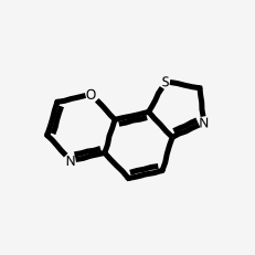 C1=COc2c3c(ccc2=N1)=NCS3